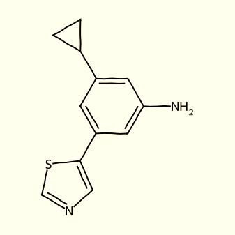 Nc1cc(-c2cncs2)cc(C2CC2)c1